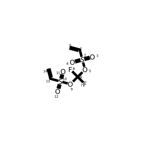 C=CS(=O)(=O)OC(F)(F)OS(=O)(=O)C=C